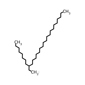 [CH2]CC(CCCCCCCC)CCCCCCCCCCCCCCCCCCC